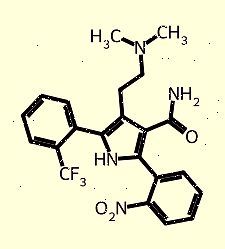 CN(C)CCc1c(-c2ccccc2C(F)(F)F)[nH]c(-c2ccccc2[N+](=O)[O-])c1C(N)=O